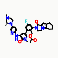 CC(=O)OCc1c(-c2cc(Nc3ccc(N4CCN(C)C[C@H]4C)cn3)c(=O)n(C)c2)cc(F)cc1N1CCn2c(cc3c2CCCC3)C1=O